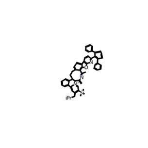 C=C1/N=C(/C)c2c(ccc3c2oc2nc(-c4c(-c5ccccc5)cccc4-c4ccccc4)ccc23)CCC2c3ccccc3-c3cc(CC(C)C)c([Si](C)(C)C)c[n+]3C12